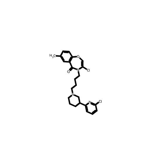 Cc1ccc2c(c1)C(=O)N(CCCCN1CCCC(c3cccc(Cl)n3)C1)C(Cl)=CO2